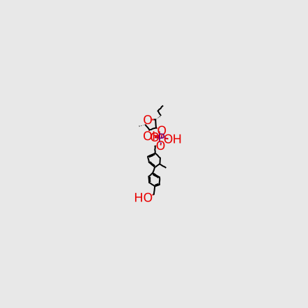 CCC[C@H]1O[C@@H](C)[C@H](O)[C@@H]1OP(=O)(O)OCC1=CC=C(c2ccc(CO)cc2)C(C)C1